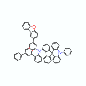 c1ccc(-c2cccc(-c3ccccc3N(c3cccc(-c4ccc5oc6ccccc6c5c4)c3)c3cccc4c3-c3ccccc3C43c4ccccc4N(c4ccccc4)c4ccccc43)c2)cc1